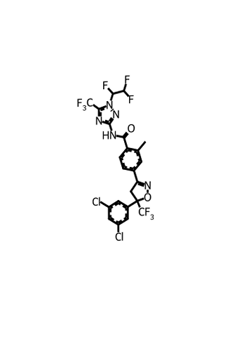 Cc1cc(C2=NOC(c3cc(Cl)cc(Cl)c3)(C(F)(F)F)C2)ccc1C(=O)Nc1nc(C(F)(F)F)n(C(F)C(F)F)n1